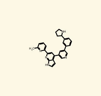 Cc1cccc(-c2cc(-c3cncc(-c4cccc(C5CCCN5)c4)c3)c3cc[nH]c3n2)n1